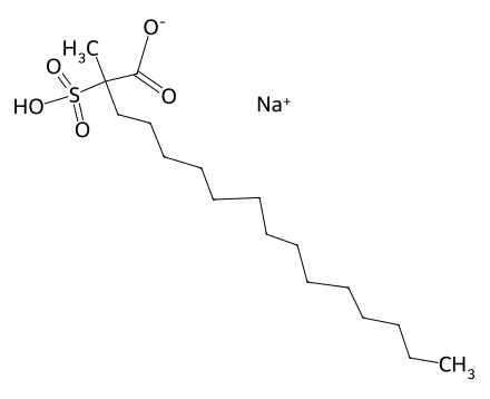 CCCCCCCCCCCCCCC(C)(C(=O)[O-])S(=O)(=O)O.[Na+]